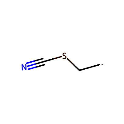 [CH2]CSC#N